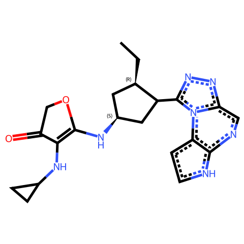 CC[C@@H]1C[C@H](NC2=C(NC3CC3)C(=O)CO2)CC1c1nnc2cnc3[nH]ccc3n12